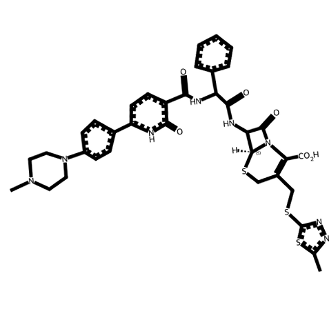 Cc1nnc(SCC2=C(C(=O)O)N3C(=O)C(NC(=O)C(NC(=O)c4ccc(-c5ccc(N6CCN(C)CC6)cc5)[nH]c4=O)c4ccccc4)[C@@H]3SC2)s1